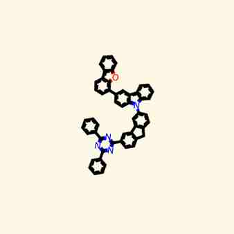 c1ccc(-c2nc(-c3ccccc3)nc(-c3ccc4c(c3)-c3cc(-n5c6ccccc6c6cc(-c7cccc8c7oc7ccccc78)ccc65)ccc3C4)n2)cc1